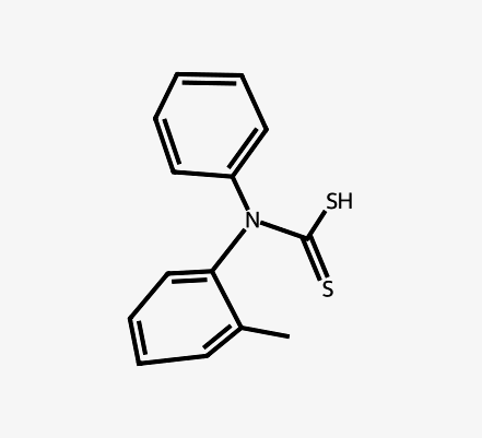 Cc1ccccc1N(C(=S)S)c1ccccc1